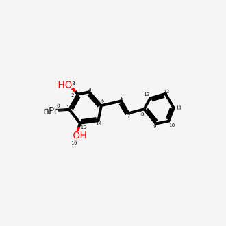 CCCc1c(O)cc(/C=C/c2ccccc2)cc1O